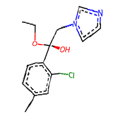 CCO[C@](O)(Cn1ccnc1)c1ccc(C)cc1Cl